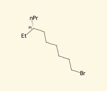 CCC[C@@H](CC)CCCCCCBr